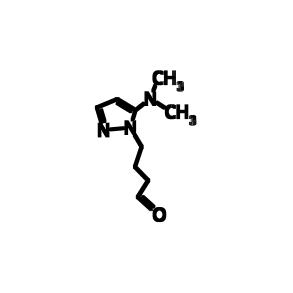 CN(C)c1ccnn1CCCC=O